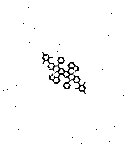 Cc1cc(C)c(-c2ccc3c(c2)N(c2ccccc2)c2cc4c5c6c(cc4c4c2B3n2ccc3cccc-4c32)N(c2ccccc2)c2cc(-c3c(C)cc(C)cc3C)ccc2B6n2ccc3cccc-5c32)c(C)c1